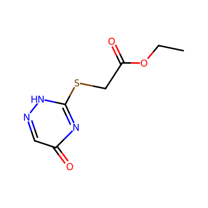 CCOC(=O)CSc1nc(=O)cn[nH]1